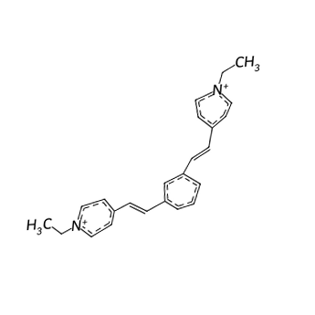 CC[n+]1ccc(/C=C/c2cccc(/C=C/c3cc[n+](CC)cc3)c2)cc1